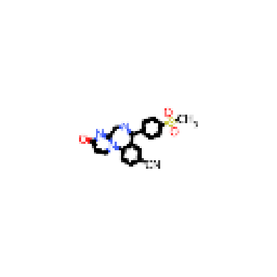 CS(=O)(=O)c1ccc(C2=NCc3nc(=O)ccn3-c3ccc(C#N)cc32)cc1